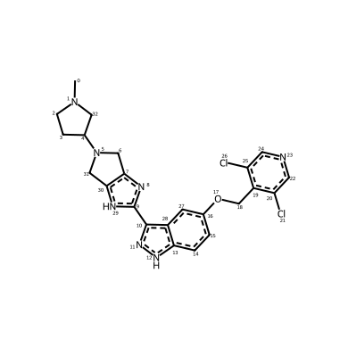 CN1CCC(N2Cc3nc(-c4n[nH]c5ccc(OCc6c(Cl)cncc6Cl)cc45)[nH]c3C2)C1